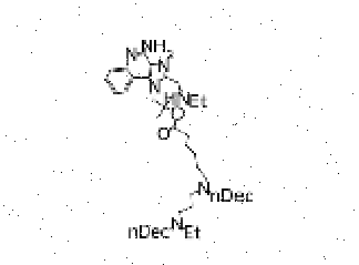 CCCCCCCCCCN(CC)CCCN(CCCCCCCCCC)CCCCCC(=O)OC(C)(C)Cn1c(CNCC)nc2c(N)nc3ccccc3c21